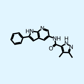 Cc1n[nH]c(C(=O)Nc2cnc3[nH]c(-c4ccccc4)cc3c2)c1C